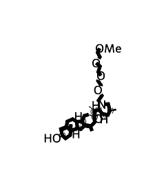 COCCOCCOCCOCCN1C[C@@H](C)C[C@H]2O[C@]3(CC[C@@H]4C(=C(C)C3)C[C@H]3C4CCC4=C[C@@H](O)CCC43C)[C@H](C)[C@@H]21